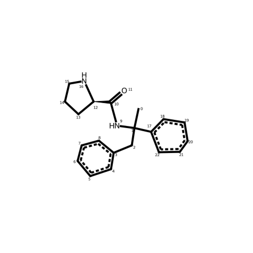 CC(Cc1ccccc1)(NC(=O)[C@H]1CCCN1)c1ccccc1